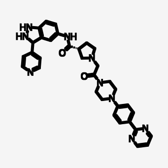 O=C(Nc1ccc2c(c1)C(c1ccncc1)NN2)[C@@H]1CCN(CC(=O)N2CCN(c3ccc(-c4ncccn4)cc3)CC2)C1